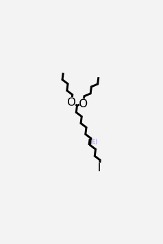 CCCCCOC(CCCCC/C=C/CCCI)OCCCCC